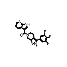 Cn1nc2c(c1-c1cc(F)c(F)c(F)c1)CCN(C(=O)c1c[nH]c3ncccc13)C2